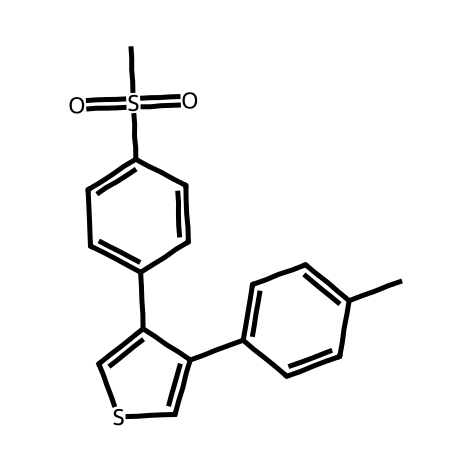 Cc1ccc(-c2cscc2-c2ccc(S(C)(=O)=O)cc2)cc1